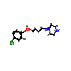 Clc1ccc(OCCCCN2CCNCC2)cc1